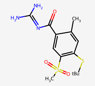 Cc1cc(SC(C)(C)C)c(S(C)(=O)=O)cc1C(=O)N=C(N)N